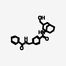 O=C(NCc1ccc(C(=O)NC23CCCC(CC(CO)C2)C3)cc1)c1ccccc1